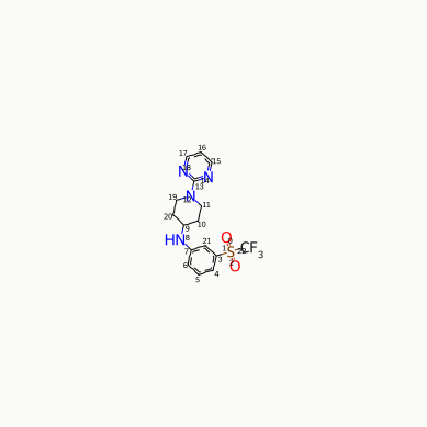 O=S(=O)(c1cccc(NC2CCN(c3n[c]ccn3)CC2)c1)C(F)(F)F